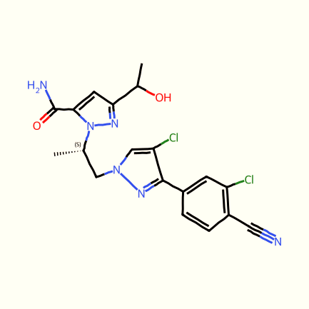 CC(O)c1cc(C(N)=O)n([C@@H](C)Cn2cc(Cl)c(-c3ccc(C#N)c(Cl)c3)n2)n1